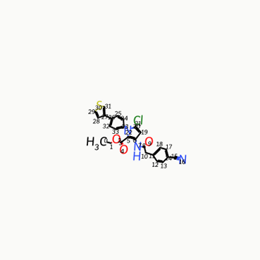 CCOC(=O)c1c(NC(=O)Cc2ccc(C#N)cc2)cc(Cl)n1-c1ccc(-c2ccsc2)cc1